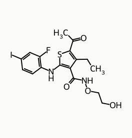 CCc1c(C(C)=O)sc(Nc2ccc(I)cc2F)c1C(=O)NOCCO